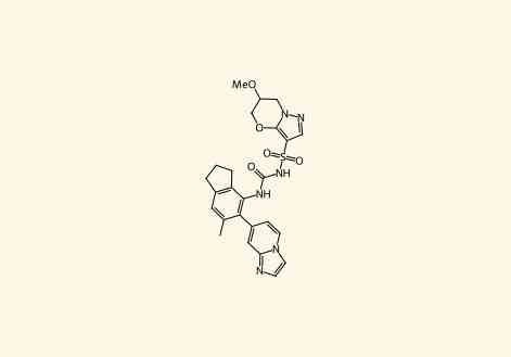 COC1COc2c(S(=O)(=O)NC(=O)Nc3c4c(cc(C)c3-c3ccn5ccnc5c3)CCC4)cnn2C1